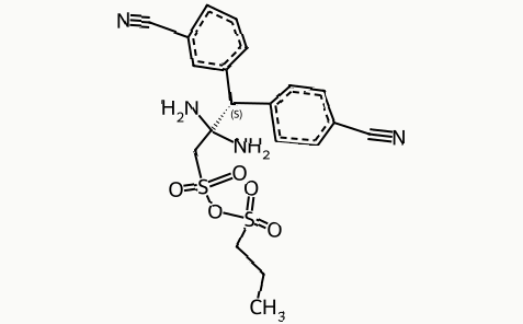 CCCS(=O)(=O)OS(=O)(=O)CC(N)(N)[C@@H](c1ccc(C#N)cc1)c1cccc(C#N)c1